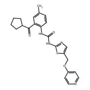 Cc1ccc(NC(=O)Nc2ncc(COc3ccncc3)s2)c(C(=O)C2CCCC2)c1